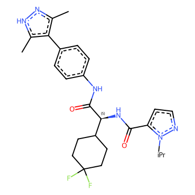 Cc1n[nH]c(C)c1-c1ccc(NC(=O)[C@@H](NC(=O)c2ccnn2C(C)C)C2CCC(F)(F)CC2)cc1